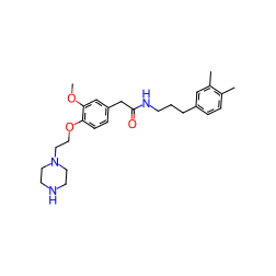 COc1cc(CC(=O)NCCCc2ccc(C)c(C)c2)ccc1OCCN1CCNCC1